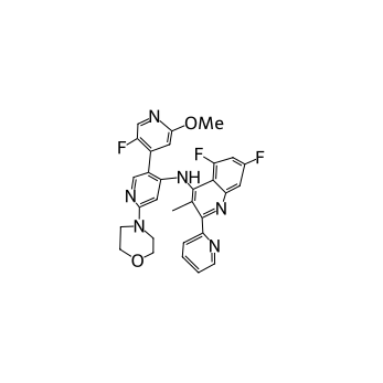 COc1cc(-c2cnc(N3CCOCC3)cc2Nc2c(C)c(-c3ccccn3)nc3cc(F)cc(F)c23)c(F)cn1